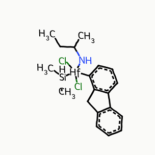 CCC(C)[NH][Hf]([Cl])([Cl])([c]1cccc2c1Cc1ccccc1-2)[SiH](C)C